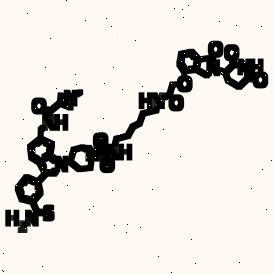 CN1CC(C(=O)NCc2ccc3c(-c4cccc(C(N)=S)c4)cn(C4CCN(S(=O)(=O)NCCCCCCNC(=O)COc5cccc6c5CN(C5CCC(=O)NC5=O)C6=O)CC4)c3c2)C1